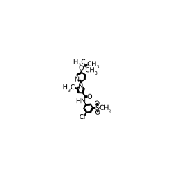 Cc1cc(C(=O)Nc2cc(Cl)cc(S(C)(=O)=O)c2)cn1-c1ccc(OC(C)(C)C)cn1